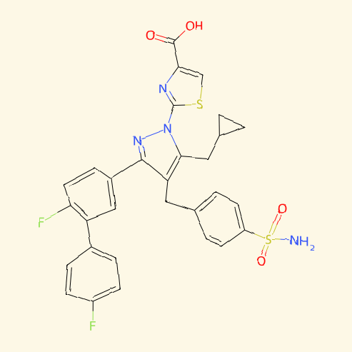 NS(=O)(=O)c1ccc(Cc2c(-c3ccc(F)c(-c4ccc(F)cc4)c3)nn(-c3nc(C(=O)O)cs3)c2CC2CC2)cc1